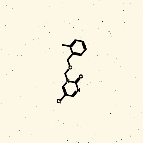 Cc1ccccc1COCn1cc(Cl)cnc1=O